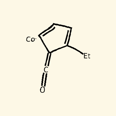 CCC1=CC=CC1=C=O.[Co]